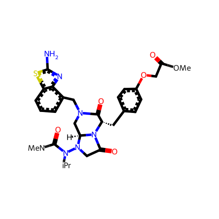 CNC(=O)N(C(C)C)N1CC(=O)N2[C@@H](Cc3ccc(OCC(=O)OC)cc3)C(=O)N(Cc3cccc4sc(N)nc34)C[C@@H]21